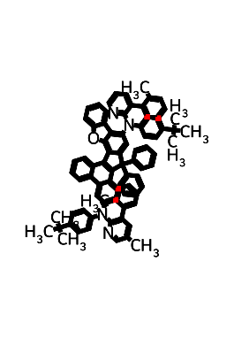 Cc1cnc(N(c2ccc(C(C)(C)C)cc2)c2ccc3c4c(c5ccccc5c3c2)-c2c(cc(N(c3ccc(C(C)(C)C)cc3)c3ncccc3-c3ccccc3C)c3c2oc2ccccc23)C4(c2ccccc2)c2ccccc2)c(-c2ccccc2C)c1